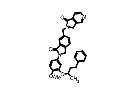 COc1ccc(N2Cc3ccc(CN4Cc5cnccc5C4=O)cc3C2=O)cc1OC(C)CCc1ccccc1